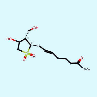 COC(=O)CCCC=CC[C@H]1[C@@H](CO)C(O)CS1(=O)=O